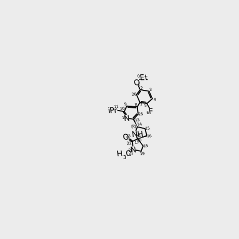 CCOc1ccc(F)c(-c2cc(C(C)C)nc([C@H]3CC[C@]4(CCN(C)C4=O)N3)c2)c1